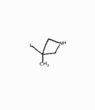 CC1(I)CNC1